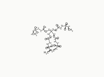 C=CS(=O)(=O)CCC(=O)OCC(COC(=O)CCS(=O)(=O)C=C)(COC(=O)CCS(=O)(=O)C=C)COC(=O)CCS(=O)(=O)C=C